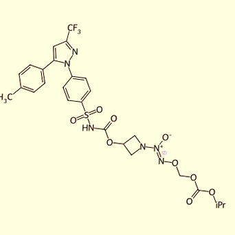 Cc1ccc(-c2cc(C(F)(F)F)nn2-c2ccc(S(=O)(=O)NC(=O)OC3CN(/[N+]([O-])=N/OCOC(=O)OC(C)C)C3)cc2)cc1